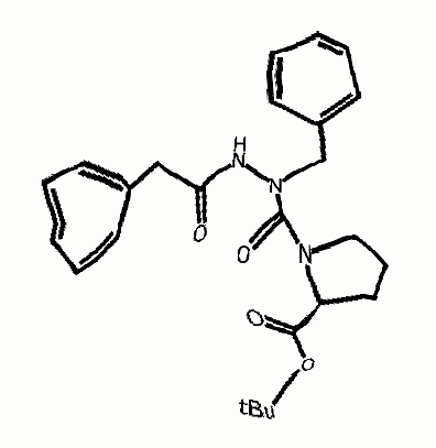 CC(C)(C)OC(=O)[C@@H]1CCCN1C(=O)N(Cc1ccccc1)NC(=O)Cc1ccccc1